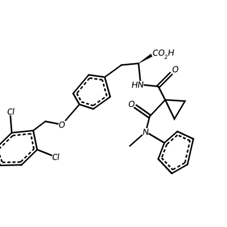 CN(C(=O)C1(C(=O)N[C@@H](Cc2ccc(OCc3c(Cl)cccc3Cl)cc2)C(=O)O)CC1)c1ccccc1